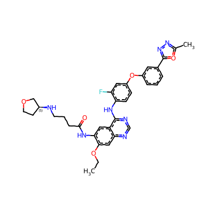 CCOc1cc2ncnc(Nc3ccc(Oc4cccc(-c5nnc(C)o5)c4)cc3F)c2cc1NC(=O)CCCN[C@H]1CCOC1